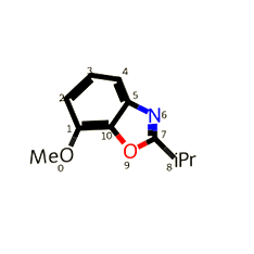 COc1cccc2nc(C(C)C)oc12